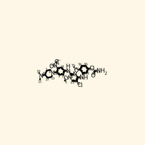 COc1cc(N2CCC(N(C)C)CC2)c([N+](=O)[O-])cc1Nc1ncc(Cl)c(Nc2cc(OC(N)=O)ccc2OC)n1